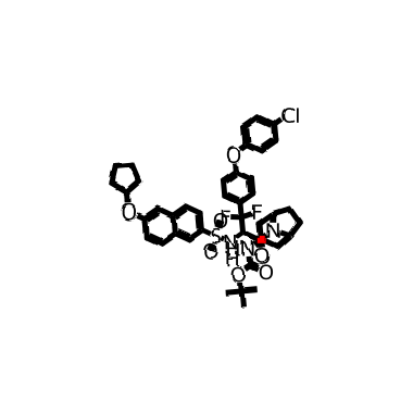 CC(C)(C)OC(=O)NC1CC2CCC(C1)N2C(=O)C(NS(=O)(=O)c1ccc2cc(OC3CCCC3)ccc2c1)C(F)(F)c1ccc(Oc2ccc(Cl)cc2)cc1